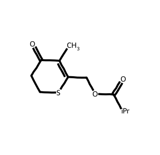 CC1=C(COC(=O)C(C)C)SCCC1=O